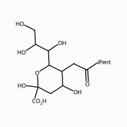 CCCC(C)C(=O)CC1C(O)CC(O)(C(=O)O)OC1C(O)C(O)CO